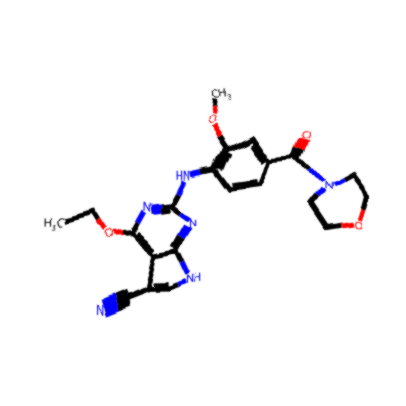 CCOc1nc(Nc2ccc(C(=O)N3CCOCC3)cc2OC)nc2[nH]cc(C#N)c12